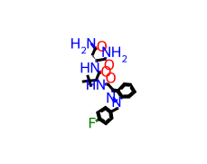 CC(C)(C)[C@H](NC(=O)c1nn(Cc2ccc(F)cc2)c2ccccc12)C(=O)N[C@H](CC(N)=O)C(N)=O